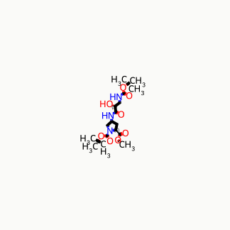 COC(=O)[C@@H]1CC(NC(=O)[C@@H](O)CNC(=O)OC(C)(C)C)CN1C(=O)OC(C)(C)C